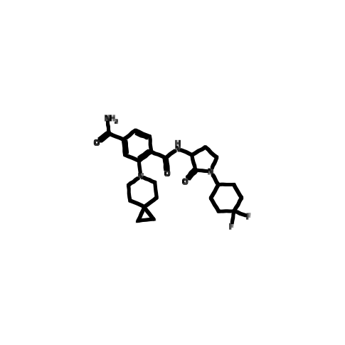 NC(=O)c1ccc(C(=O)NC2CCN(C3CCC(F)(F)CC3)C2=O)c(N2CCC3(CC2)CC3)c1